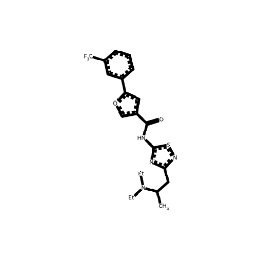 CCN(CC)C(C)Cc1nsc(NC(=O)c2coc(-c3cccc(C(F)(F)F)c3)c2)n1